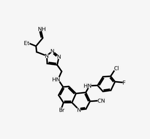 CCC(C=N)Cn1cc(CNc2cc(Br)c3ncc(C#N)c(Nc4ccc(F)c(Cl)c4)c3c2)nn1